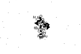 CN(C[C@@H](NC(=O)N[C@H](C(=O)N1C[C@H]2[C@H](CCC23CC3)[C@H]1C(=O)NC(CC1CC1)C(=O)C(N)=O)C(C)(C)C)C(C)(C)C)[S+](C)[O-]